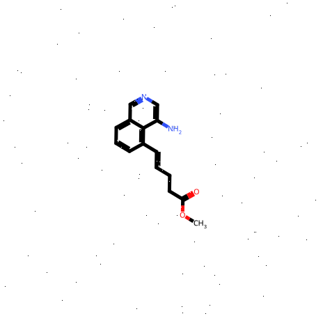 COC(=O)CC/C=C/c1cccc2cncc(N)c12